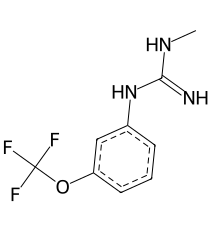 CNC(=N)Nc1cccc(OC(F)(F)F)c1